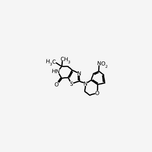 CC1(C)Cc2nc(N3CCOc4ccc([N+](=O)[O-])cc43)sc2C(=O)N1